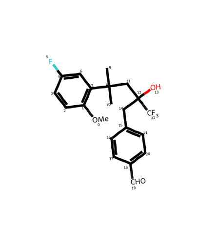 COc1ccc(F)cc1C(C)(C)CC(O)(Cc1ccc(C=O)cc1)C(F)(F)F